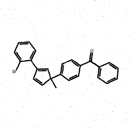 CC1(c2ccc(C(=O)c3ccccc3)cc2)C=CC(c2ccccc2Br)=C1